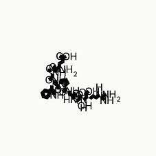 N=C(N)NCCC[C@H](NC(=O)[C@H](CO)NC(=O)CNC(=O)[C@@H]1CCCN1C(=O)[C@H](Cc1c[nH]c2ccccc12)NC(=O)[C@H](CO)NC(=O)[C@@H](N)CCC(=O)O)C(=O)O